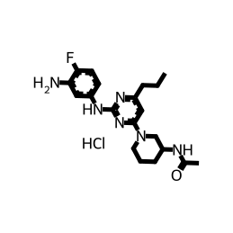 CCCc1cc(N2CCCC(NC(C)=O)C2)nc(Nc2ccc(F)c(N)c2)n1.Cl